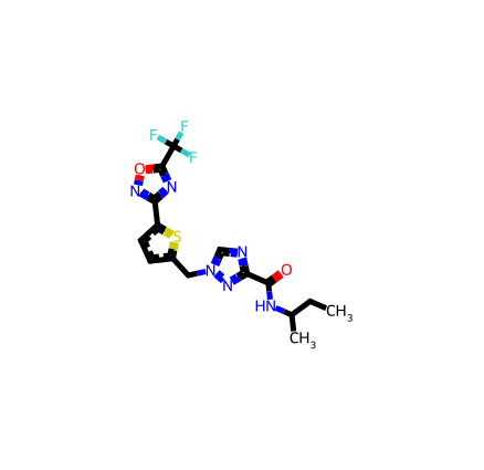 CCC(C)NC(=O)c1ncn(Cc2ccc(-c3noc(C(F)(F)F)n3)s2)n1